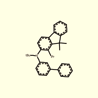 CC(C)c1c(N(c2cccc(-c3ccccc3)c2)C(C)(C)C)ccc2c1C(C)(C)c1ccccc1-2